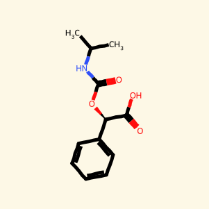 CC(C)NC(=O)O[C@@H](C(=O)O)c1ccccc1